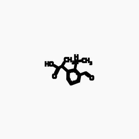 CNc1c(C=O)cccc1C(C)C(=O)O